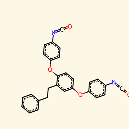 O=C=Nc1ccc(Oc2ccc(Oc3ccc(N=C=O)cc3)c(CCc3ccccc3)c2)cc1